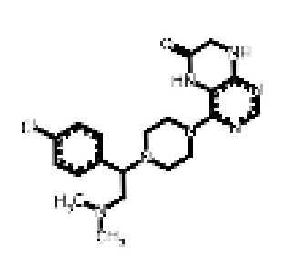 CN(C)CC(c1ccc(Cl)cc1)N1CCN(c2ncnc3c2NC(=O)CN3)CC1